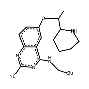 CC(Oc1ccc2nc(C#N)nc(NCC(C)(C)C)c2c1)C1CCCCN1